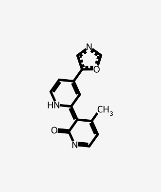 CC1=CC=NC(=O)C1=C1C=C(c2cnco2)C=CN1